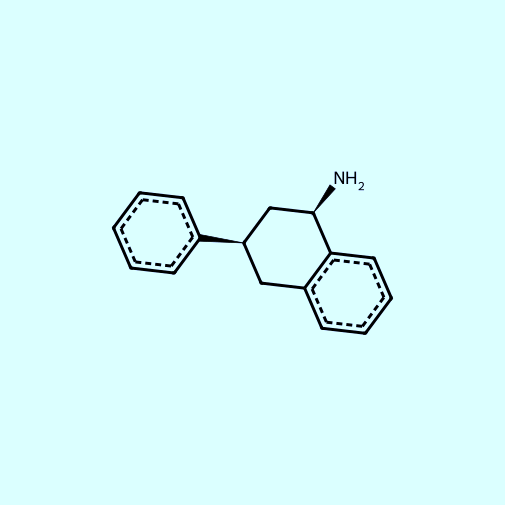 N[C@@H]1C[C@H](c2ccccc2)Cc2ccccc21